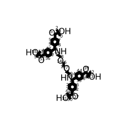 CC(C)(O)C(=O)c1ccc(C(NCCOCCOCCNC(c2ccc(C(=O)C(C)(C)O)cc2)c2ccc(C(=O)C(C)(C)O)cc2)c2ccc(C(=O)C(C)(C)O)cc2)cc1